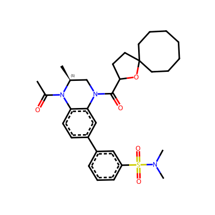 CC(=O)N1c2ccc(-c3cccc(S(=O)(=O)N(C)C)c3)cc2N(C(=O)C2CCC3(CCCCCCC3)O2)C[C@@H]1C